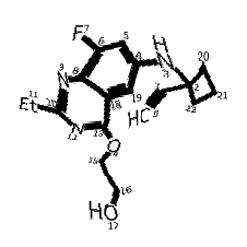 C#CC1(Nc2cc(F)c3nc(CC)nc(OCCO)c3c2)CCC1